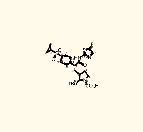 CC(C)(C)C1C(C[C@@H](C(=O)Nc2ncc(F)s2)c2ccc(S(=O)(=O)C3CC3)cc2)CCN1C(=O)O